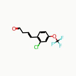 O=CCC=Cc1ccc(OC(F)(F)F)cc1Cl